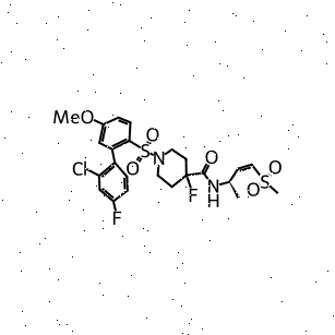 COc1ccc(S(=O)(=O)N2CCC(F)(C(=O)N[C@H](C)/C=C\S(C)(=O)=O)CC2)c(-c2ccc(F)cc2Cl)c1